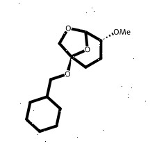 CO[C@@H]1CC[C@]2(OCC3CCCCC3)COC1O2